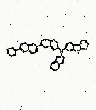 c1ccc(-c2ccc3cc(-c4ccc5ccc(N(c6ccc7ccccc7c6)c6ccc7c(c6)sc6ccccc67)cc5c4)ccc3c2)cc1